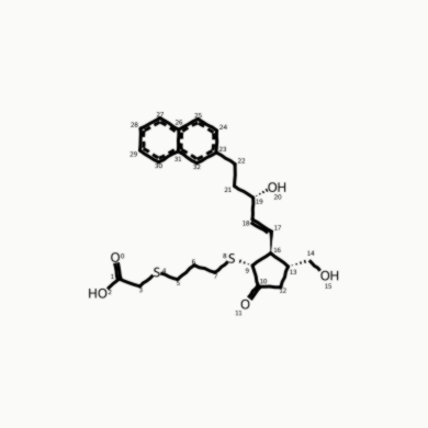 O=C(O)CSCCCS[C@H]1C(=O)C[C@@H](CO)[C@@H]1C=C[C@@H](O)CCc1ccc2ccccc2c1